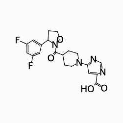 O=C(O)c1cc(N2CCC(C(=O)N3OCCC3c3cc(F)cc(F)c3)CC2)ncn1